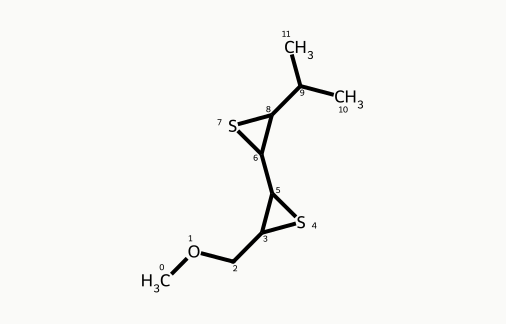 COCC1SC1C1SC1C(C)C